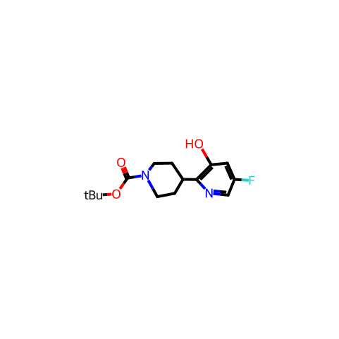 CC(C)(C)OC(=O)N1CCC(c2ncc(F)cc2O)CC1